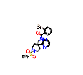 CCCS(=O)(=O)N1CCC(CNC(=O)c2ccccc2Br)(c2ccccn2)CC1